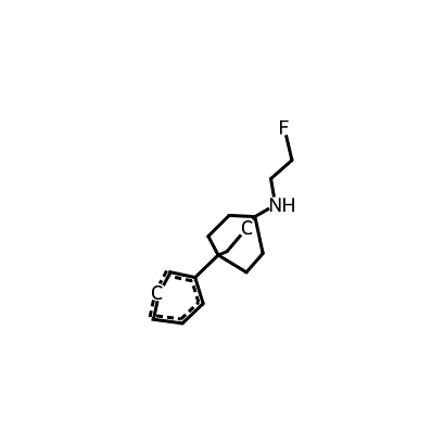 FCCNC12CCC(c3ccccc3)(CC1)CC2